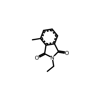 CCN1C(=O)c2cccc(C)c2C1=O